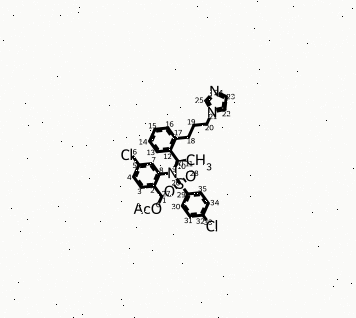 CC(=O)OCc1ccc(Cl)cc1N([C@H](C)c1ccccc1CCCn1ccnc1)S(=O)(=O)c1ccc(Cl)cc1